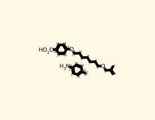 C=C(C)COCCCCCCCOc1ccc(C(=O)O)cc1.Nc1ccc(F)cc1